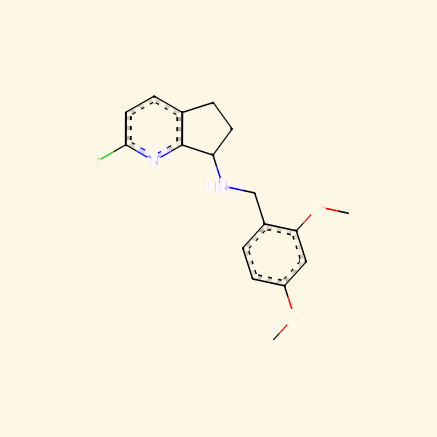 COc1ccc(CNC2CCc3ccc(Cl)nc32)c(OC)c1